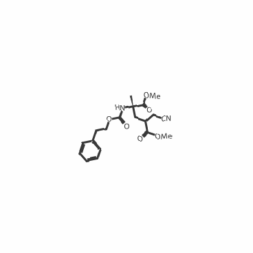 COC(=O)C(CC#N)C[C@](C)(NC(=O)OCCc1ccccc1)C(=O)OC